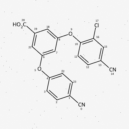 N#Cc1ccc(Oc2cc(Oc3ccc(C#N)cc3Cl)cc(C(=O)O)c2)cc1